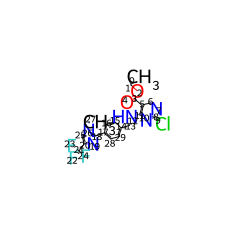 CCOC(=O)c1cnc(Cl)nc1NCc1ccc(-c2nc(C(F)(F)F)cn2C)cc1